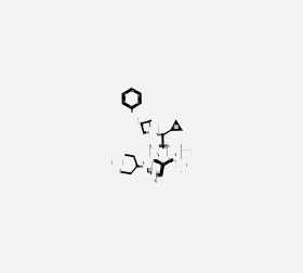 O=c1[nH]c(C(C2CC2)N2CC(Oc3ccccc3)C2)nc2c1cnn2C1CCOCC1